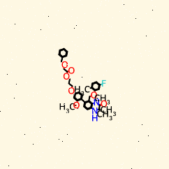 COc1cc(OCCCOC(=O)COCc2ccccc2)ccc1-c1ccc2c(c1COc1cc(F)ccc1C)N(C)C(=O)C(C)(C)N2